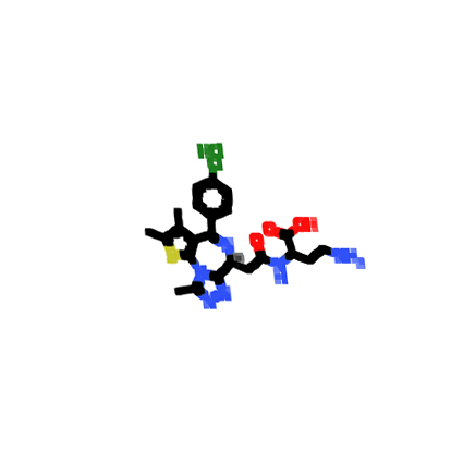 Cc1sc2c(c1C)C(c1ccc(Cl)cc1)=N[C@@H](CC(=O)NC(CCN)C(=O)O)c1nnc(C)n1-2.Cl